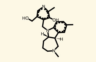 Cc1ccc2c(c1)[C@H]1CN(C)CCC[C@@H]1N2Cc1c(CO)cnc(C)c1O